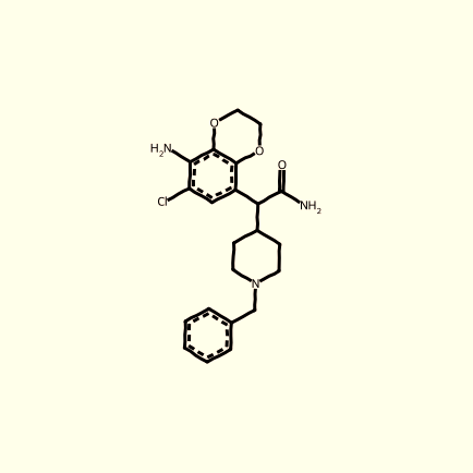 NC(=O)C(c1cc(Cl)c(N)c2c1OCCO2)C1CCN(Cc2ccccc2)CC1